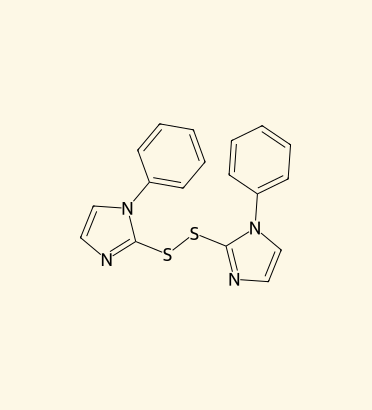 c1ccc(-n2ccnc2SSc2nccn2-c2ccccc2)cc1